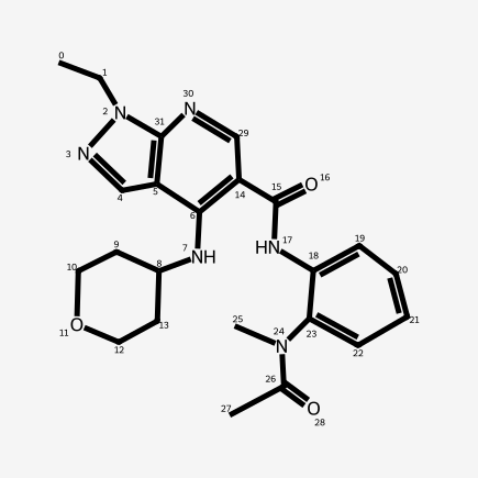 CCn1ncc2c(NC3CCOCC3)c(C(=O)Nc3ccccc3N(C)C(C)=O)cnc21